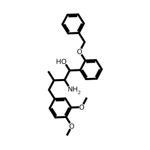 COc1ccc(CC(C)C(N)C(O)c2ccccc2OCc2ccccc2)cc1OC